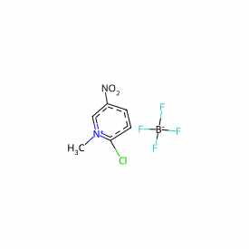 C[n+]1cc([N+](=O)[O-])ccc1Cl.F[B-](F)(F)F